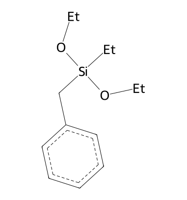 CCO[Si](CC)(Cc1ccccc1)OCC